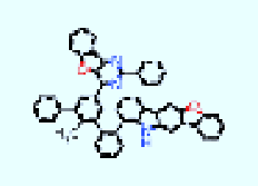 Cc1c(-c2ccccc2)cc(-c2nc(-c3ccccc3)nc3c2oc2ccccc23)cc1-c1ccccc1-c1cccc2c1[nH]c1cc3c(cc12)oc1ccccc13